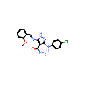 COc1ccccc1/C=N/c1[nH]nc(Nc2ccc(Cl)cc2)c1C(N)=O